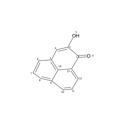 O=C1C(O)=Cc2cccc3cccc1c23